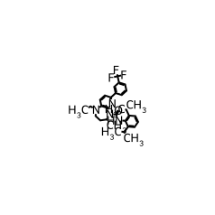 CCN1CC[C@@H](C)N(C(=O)Nc2c(C(C)C)cccc2C(C)C)c2nc(-c3cccc(C(F)(F)F)c3)ccc21